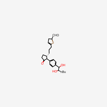 CCCCC(O)C(O)c1ccc(C2C(=O)CC[C@@H]2CCCC2=CCC(C=O)S2)cc1